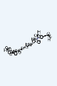 CCNC(=O)C#Cc1ccc2c(c1)NC(=O)/C2=C(\NC1C=CC(CNCCOCCOCCC(=O)Nc2cccc3c2CN(C2CCC(=O)NC2=O)C3=O)=CC1)c1ccccc1